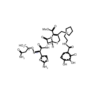 COC(=O)C1=C(C[N+]2(CCNC(=O)c3ccc(O)c(O)c3Cl)CCCC2)CS[C@@H]2[C@H](NC(=O)/C(=N\O[C@@H](CC(N)=O)C(=O)O)c3csc(N)n3)C(=O)N12